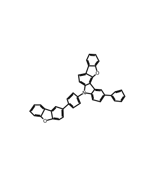 c1ccc(-c2ccc3c(c2)c2c4oc5ccccc5c4ccc2n3-c2ccc(-c3ccc4oc5ccccc5c4c3)cc2)cc1